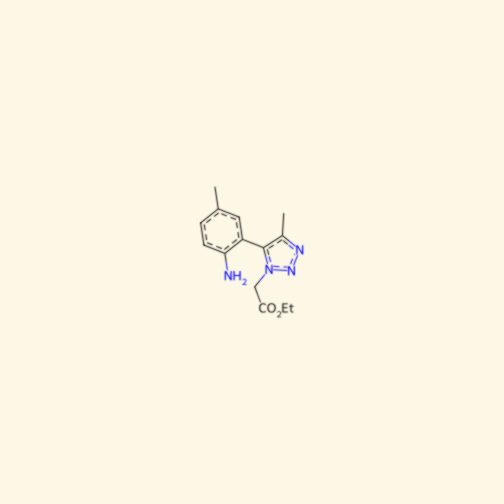 CCOC(=O)Cn1nnc(C)c1-c1cc(C)ccc1N